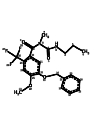 CCCNC(=O)N(C)C(=O)c1cc(OCc2ccccc2)c(OC)cc1C(F)(F)F